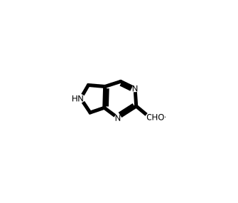 O=[C]c1ncc2c(n1)CNC2